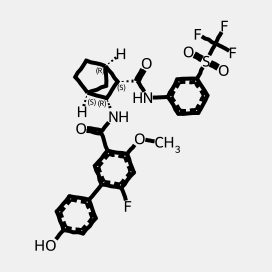 COc1cc(F)c(-c2ccc(O)cc2)cc1C(=O)N[C@@H]1[C@H]2CC[C@H](C2)[C@@H]1C(=O)Nc1cccc(S(=O)(=O)C(F)(F)F)c1